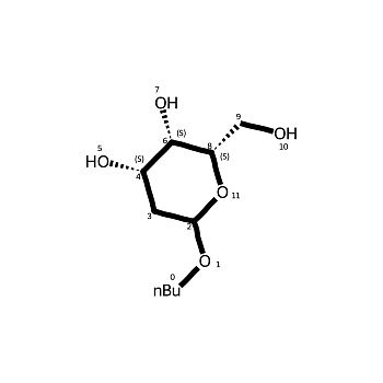 CCCCOC1C[C@H](O)[C@H](O)[C@H](CO)O1